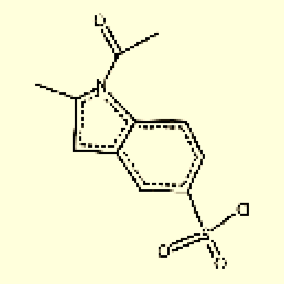 CC(=O)n1c(C)cc2cc(S(=O)(=O)Cl)ccc21